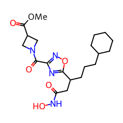 COC(=O)C1CN(C(=O)c2noc(C(CCCC3CCCCC3)CC(=O)NO)n2)C1